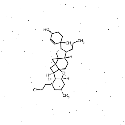 CCC[C@H]1[C@@H]2CC[C@@]34O[C@@H]5C[C@H](C)CN(CCCl)[C@H]5[C@H]3CC43CC23C[C@@H]1[C@]1(C)C=C[C@@H](O)CC1